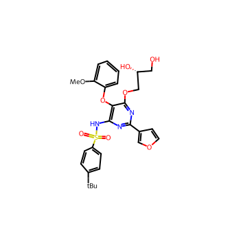 COc1ccccc1Oc1c(NS(=O)(=O)c2ccc(C(C)(C)C)cc2)nc(-c2ccoc2)nc1OC[C@H](O)CO